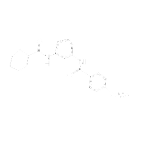 COc1ccc(C(=O)Nc2cccc(NC(=O)C3CCCCC3)c2)cc1